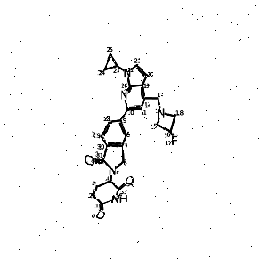 O=C1CCC(N2Cc3cc(-c4cc(CN5CC(F)C5)c5ccn(C6CC6)c5n4)ccc3C2=O)C(=O)N1